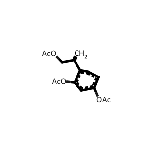 C=C(COC(C)=O)c1ccc(OC(C)=O)cc1OC(C)=O